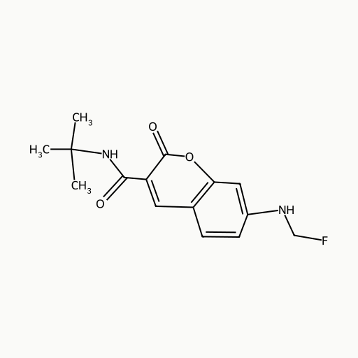 CC(C)(C)NC(=O)c1cc2ccc(NCF)cc2oc1=O